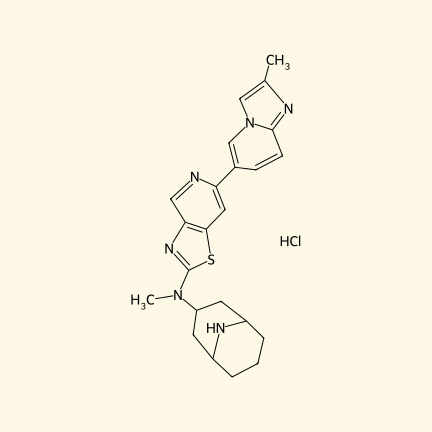 Cc1cn2cc(-c3cc4sc(N(C)C5CC6CCCC(C5)N6)nc4cn3)ccc2n1.Cl